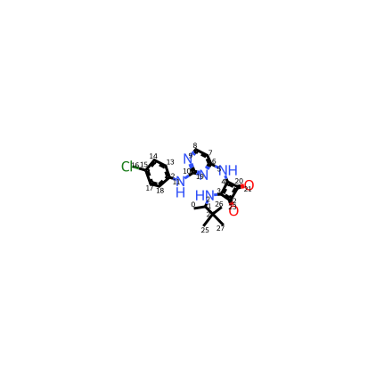 CC(Nc1c(Nc2ccnc(Nc3ccc(Cl)cc3)n2)c(=O)c1=O)C(C)(C)C